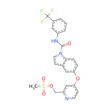 CS(=O)(=O)OCc1cc(Oc2ccc3c(ccn3C(=O)Nc3cccc(C(F)(F)F)c3)c2)ccn1